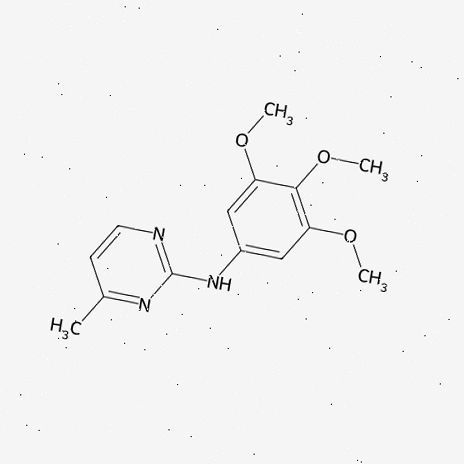 COc1cc(Nc2nccc(C)n2)cc(OC)c1OC